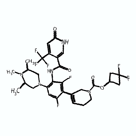 CC1CN(c2cc(F)c(C3=CCCN(C(=O)OC4CC(F)(F)C4)C3)c(F)c2NC(=O)c2c[nH]c(=O)cc2C(F)(F)F)CC(C)N1C